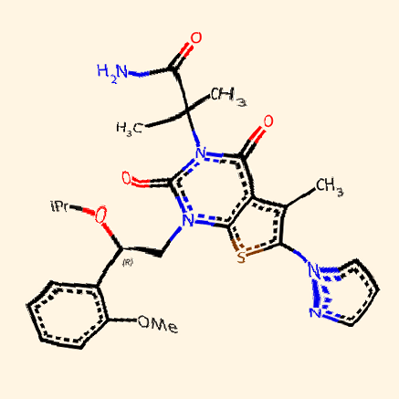 COc1ccccc1[C@H](Cn1c(=O)n(C(C)(C)C(N)=O)c(=O)c2c(C)c(-n3cccn3)sc21)OC(C)C